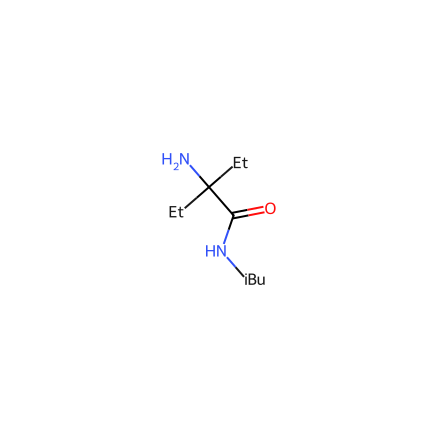 CCC(C)NC(=O)C(N)(CC)CC